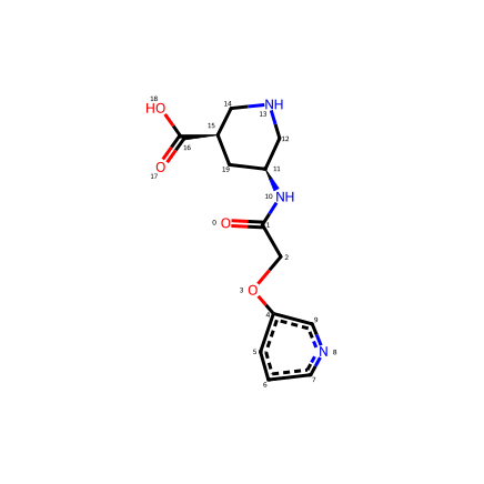 O=C(COc1cccnc1)N[C@@H]1CNC[C@H](C(=O)O)C1